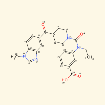 CCN(C(=O)N1CCC(C(=O)c2ccc3c(c2)ncn3C)CC1)c1cccc(C(=O)O)c1